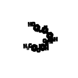 Cc1ccc(Oc2ccc(NC(=O)c3n[nH]c4ccc(-c5cncc(CN6CCC(O)CC6)c5)cc34)cn2)cc1